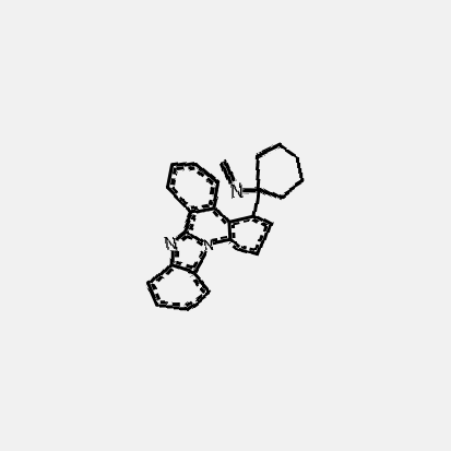 C=NC1(c2cccc3c2c2ccccc2c2nc4ccccc4n32)CCCCC1